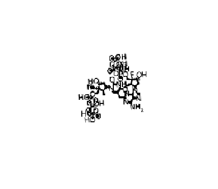 C=C1[C@@H](n2cnc3c(N)nc(Cc4cn([C@H]5C[C@H](O)[C@@](C#N)(COP(=O)(O)OP(=O)(O)OP(=O)(O)O)C5=C)c(=O)[nH]c4=O)nc32)C[C@H](O)[C@@]1(F)COP(=O)(O)OP(=O)(O)OP(=O)(O)O